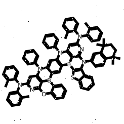 Cc1ccccc1N(c1cc2c3c(n1)Oc1ccccc1B3c1cc3c(cc1N2c1ccccc1)N(c1ccccc1)c1cc(N(c2ccccc2C)c2ccccc2C)nc2c1B3c1sc3ccccc3c1N2c1ccc2c(c1)C(C)(C)CCC2(C)C)c1ccccc1C